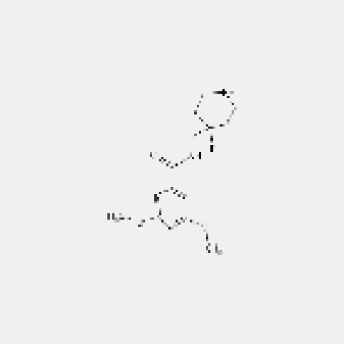 COc1cc(OC)cc(C(=O)NCC2(F)CCNCC2)c1